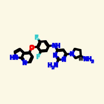 Nc1nc(Nc2cc(F)c(Oc3ccnc4[nH]ccc34)c(F)c2)cc(N2CC[C@@H](N)C2)n1